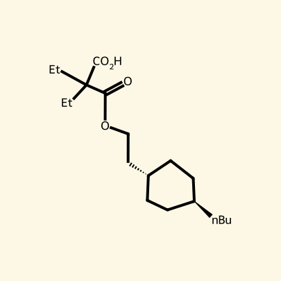 CCCC[C@H]1CC[C@H](CCOC(=O)C(CC)(CC)C(=O)O)CC1